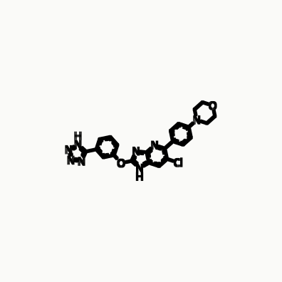 Clc1cc2[nH]c(Oc3cccc(-c4nnn[nH]4)c3)nc2nc1-c1ccc(N2CCOCC2)cc1